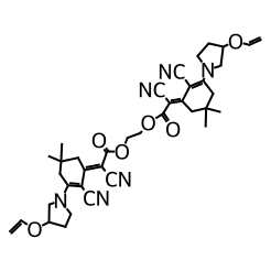 C=COC1CCN(C2=C(C#N)/C(=C(\C#N)C(=O)OCCOC(=O)/C(C#N)=C3\CC(C)(C)CC(N4CCC(OC=C)C4)=C3C#N)CC(C)(C)C2)C1